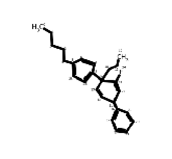 CCCCCc1ccc(C2(CCC)C=CC(c3ccccc3)C=C2F)cc1